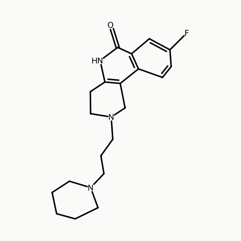 O=c1[nH]c2c(c3ccc(F)cc13)CN(CCCN1CCCCC1)CC2